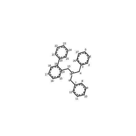 c1ccc(CP(Cc2ccccc2)Cc2ccccc2-c2ccccc2)cc1